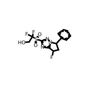 O=S(=O)(c1nc2n(n1)C(c1ccccc1)CC2F)C(F)(F)CO